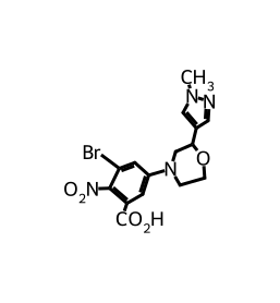 Cn1cc(C2CN(c3cc(Br)c([N+](=O)[O-])c(C(=O)O)c3)CCO2)cn1